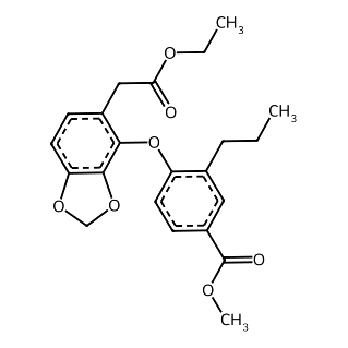 CCCc1cc(C(=O)OC)ccc1Oc1c(CC(=O)OCC)ccc2c1OCO2